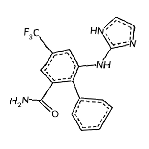 NC(=O)c1cc(C(F)(F)F)cc(Nc2ncc[nH]2)c1-c1ccccc1